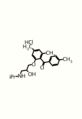 Cc1ccc(C(=O)c2c(C)cc(C)cc2OCC(O)CNC(C)C)cc1.Cl